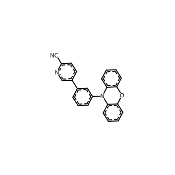 N#Cc1ccc(-c2cccc(N3c4ccccc4Oc4ccccc43)c2)cn1